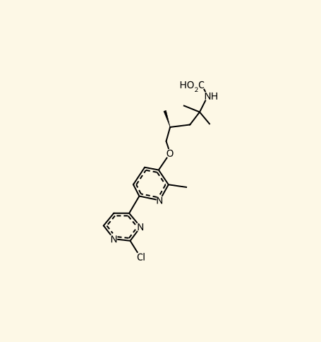 Cc1nc(-c2ccnc(Cl)n2)ccc1OC[C@@H](C)CC(C)(C)NC(=O)O